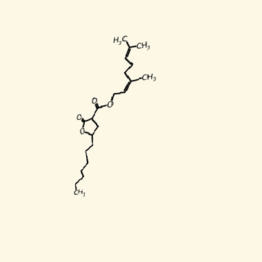 CCCCCCCC1CC(C(=O)OCC=C(C)CCC=C(C)C)C(=O)O1